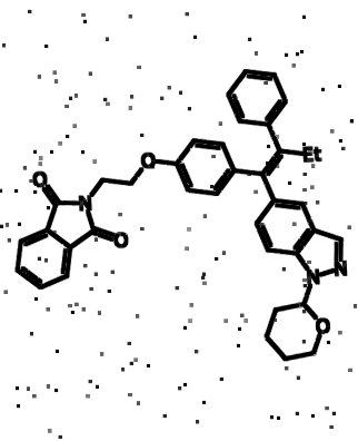 CC/C(=C(/c1ccc(OCCN2C(=O)c3ccccc3C2=O)cc1)c1ccc2c(cnn2C2CCCCO2)c1)c1ccccc1